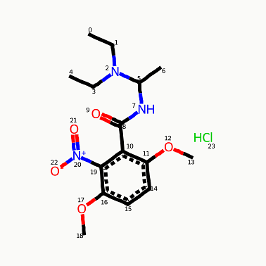 CCN(CC)C(C)NC(=O)c1c(OC)ccc(OC)c1[N+](=O)[O-].Cl